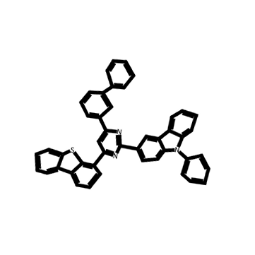 c1ccc(-c2cccc(-c3cc(-c4cccc5c4sc4ccccc45)nc(-c4ccc5c(c4)c4ccccc4n5-c4ccccc4)n3)c2)cc1